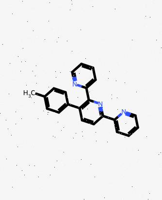 Cc1ccc(-c2ccc(-c3ccccn3)nc2-c2ccccn2)cc1